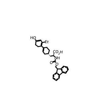 CCC1=C(C2=CC[C@@H](C[C@H](NC(=O)OCC3c4ccccc4-c4ccccc43)C(=O)O)CC2)CCC(O)=C1